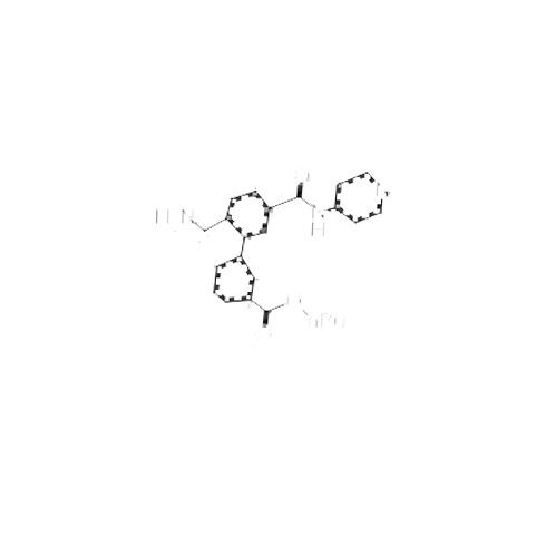 CCCCOC(=O)c1cccc(-c2cc(C(=O)Nc3ccncc3)ccc2CN)c1